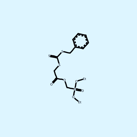 CCOP(=O)(COC(=O)CSC(=S)SCc1ccccc1)OCC